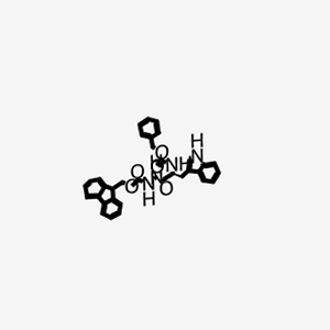 O=C(NNC(=O)[C@H](Cc1c[nH]c2ccccc12)NC(=O)OCc1ccccc1)OCC1c2ccccc2-c2ccccc21